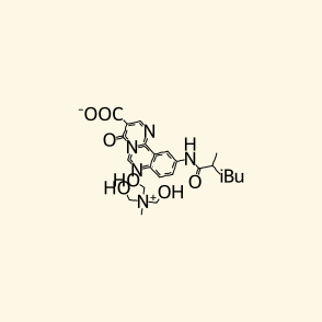 CCC(C)C(C)C(=O)Nc1ccc2ncn3c(=O)c(C(=O)[O-])cnc3c2c1.C[N+](CO)(CO)CO